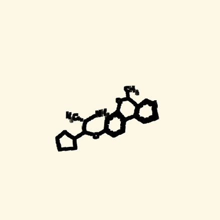 CC1Oc2cc(OC(C3CCCC3)[C@H](C)N)ccc2-c2ccncc21